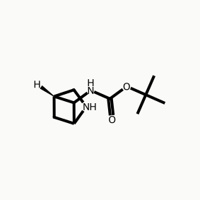 CC(C)(C)OC(=O)NC1C2C[C@@H]1CN2